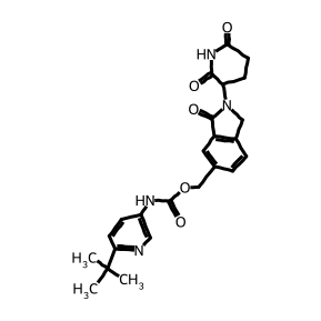 CC(C)(C)c1ccc(NC(=O)OCc2ccc3c(c2)C(=O)N(C2CCC(=O)NC2=O)C3)cn1